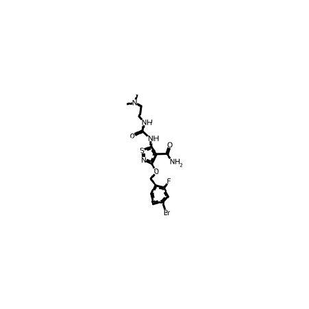 CN(C)CCNC(=O)Nc1snc(OCc2ccc(Br)cc2F)c1C(N)=O